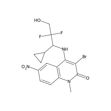 Cn1c(=O)c(Br)c(NC(C2CC2)C(F)(F)CO)c2cc([N+](=O)[O-])ccc21